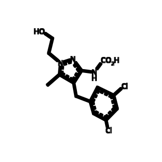 Cc1c(Cc2cc(Cl)cc(Cl)c2)c(NC(=O)O)nn1CCO